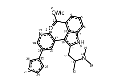 COC(=O)c1cccc2[nH]c(CC(C)N(C)C)c(-c3cncc(-c4ccsc4)c3)c12